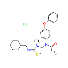 CC(=O)N(c1ccc(Oc2ccccc2)cc1)C1CSC(=NCC2CCCCC2)N1C.Cl